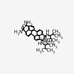 CC(C)C(NC(=O)c1ccc2c3ccc(C(N)=O)c4c(C(N)=O)ccc(c5ccc(C(=O)NC(C(C)C)C(C)C)c1c25)c43)C(C)C